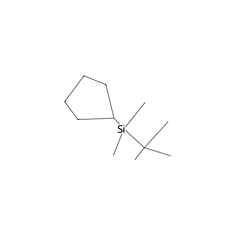 CC(C)(C)[Si](C)(C)C1CCCC1